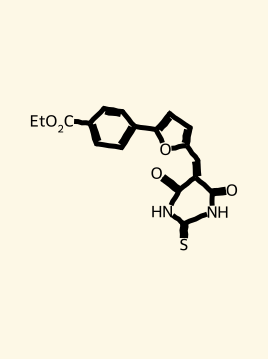 CCOC(=O)c1ccc(-c2ccc(C=C3C(=O)NC(=S)NC3=O)o2)cc1